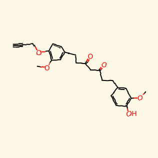 C#CCOc1ccc(CCC(=O)CC(=O)CCc2ccc(O)c(OC)c2)cc1OC